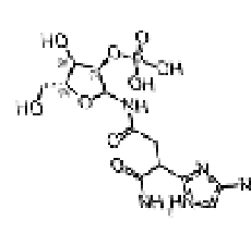 NC(=O)C(CC(=O)NC1O[C@H](CO)[C@@H](O)[C@H]1OP(=O)(O)O)c1nc(N)c[nH]1